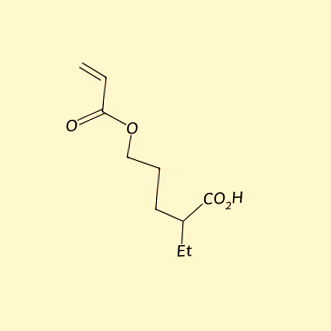 C=CC(=O)OCCCC(CC)C(=O)O